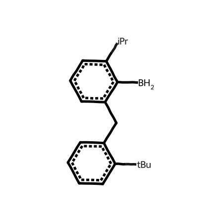 Bc1c(Cc2ccccc2C(C)(C)C)cccc1C(C)C